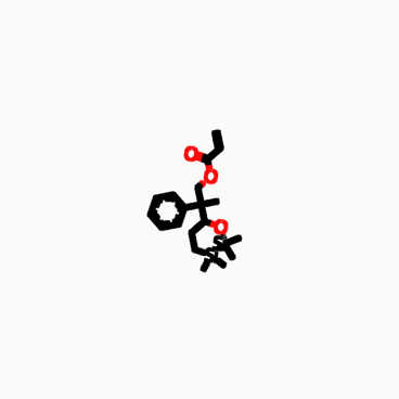 C=CC(=O)OCC(C)(c1ccccc1)C1CC[Si](C)(C)[Si](C)(C)O1